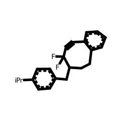 CC(C)c1ccc(CC2CCc3ccccc3C#CC2(F)F)cc1